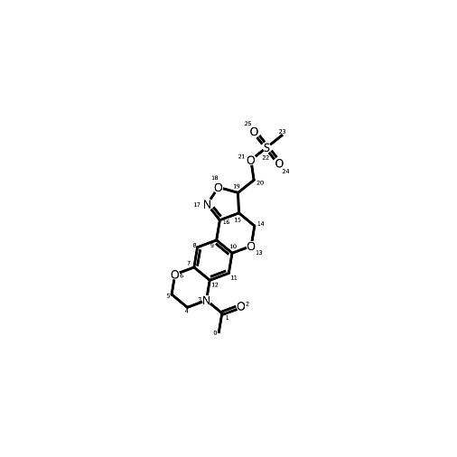 CC(=O)N1CCOc2cc3c(cc21)OCC1C3=NOC1COS(C)(=O)=O